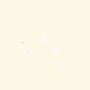 C[C@H](NOCc1ccccc1)C(CCCc1ccccc1)C(=O)NC(C(=O)NCCN1CCOCC1)C(C)(C)C